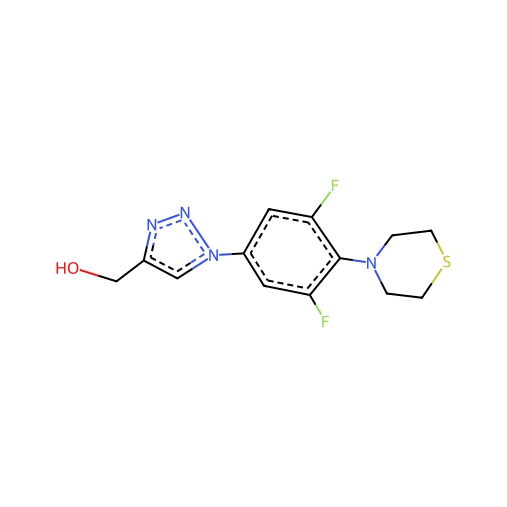 OCc1cn(-c2cc(F)c(N3CCSCC3)c(F)c2)nn1